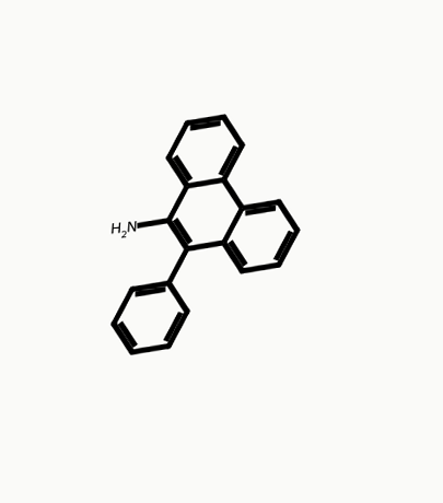 Nc1c(-c2ccccc2)c2ccccc2c2ccccc12